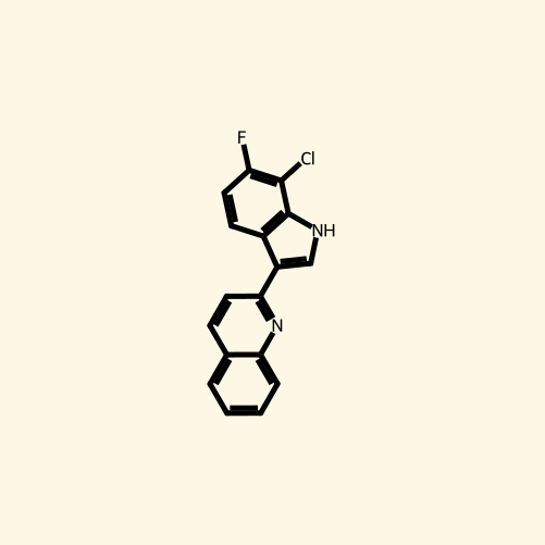 Fc1ccc2c(-c3ccc4ccccc4n3)c[nH]c2c1Cl